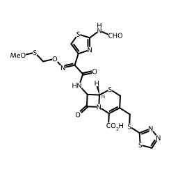 COSCON=C(C(=O)NC1C(=O)N2C(C(=O)O)=C(CSc3nncs3)CS[C@@H]12)c1csc(NC=O)n1